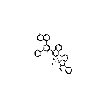 CC1(C)c2ccc3ccccc3c2-c2cccc(-c3ccc(-c4cc(-c5cccc6ncccc56)nc(-c5ccccc5)n4)c4ccccc34)c21